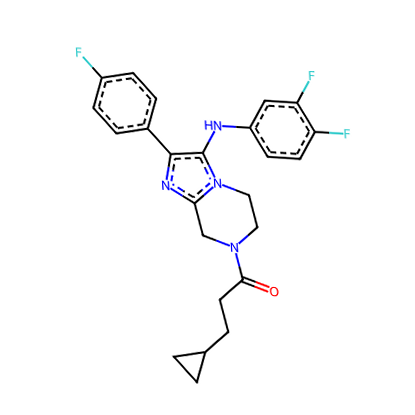 O=C(CCC1CC1)N1CCn2c(nc(-c3ccc(F)cc3)c2Nc2ccc(F)c(F)c2)C1